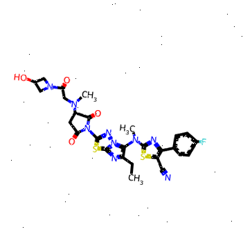 CCc1nc2sc(N3C(=O)CC(N(C)CC(=O)N4CC(O)C4)C3=O)nn2c1N(C)c1nc(-c2ccc(F)cc2)c(C#N)s1